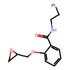 CC(C)CCNC(=O)c1ccccc1OCC1CO1